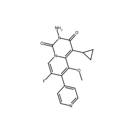 COc1c(-c2ccncc2)c(F)cn2c(=O)n(N)c(=O)c(C3CC3)c12